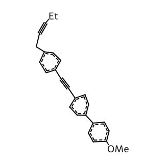 CCC#CCc1ccc(C#Cc2ccc(-c3ccc(OC)cc3)cc2)cc1